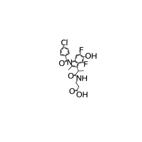 Cc1c(C(C)C(=O)NCCC(=O)O)c2c(F)c(O)c(F)cc2n1C(=O)c1ccc(Cl)cc1